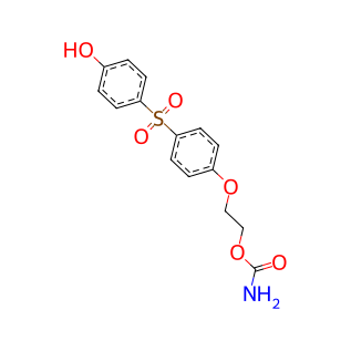 NC(=O)OCCOc1ccc(S(=O)(=O)c2ccc(O)cc2)cc1